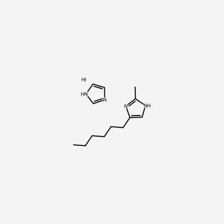 CCCCCCc1c[nH]c(C)n1.I.c1c[nH]cn1